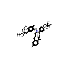 COc1cc(C)c(/N=C(\CCCC2C[C@H](C)CC[C@H]2C(C)C)Nc2ccc(OC(F)(F)F)cc2)cc1CC(=O)O